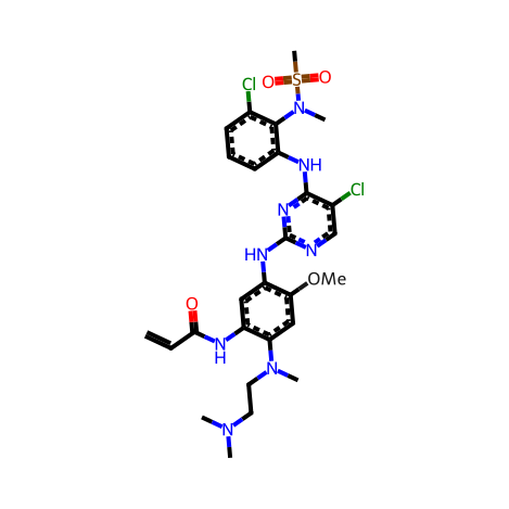 C=CC(=O)Nc1cc(Nc2ncc(Cl)c(Nc3cccc(Cl)c3N(C)S(C)(=O)=O)n2)c(OC)cc1N(C)CCN(C)C